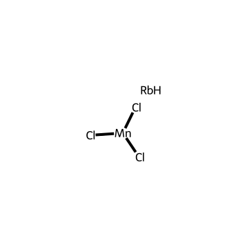 [Cl][Mn]([Cl])[Cl].[RbH]